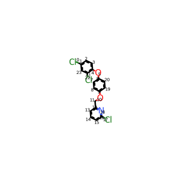 Clc1ccc(Oc2ccc(OCc3cccc(Cl)n3)cc2)c(Cl)c1